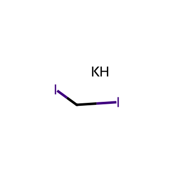 ICI.[KH]